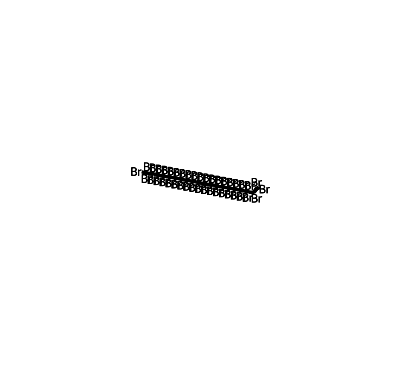 BrC(Br)=C(Br)C(Br)(Br)C(Br)(Br)C(Br)(Br)C(Br)(Br)C(Br)(Br)C(Br)(Br)C(Br)(Br)C(Br)(Br)C(Br)(Br)C(Br)(Br)C(Br)(Br)C(Br)(Br)C(Br)(Br)C(Br)(Br)C(Br)(Br)C(Br)(Br)C(Br)(Br)C(Br)(Br)Br